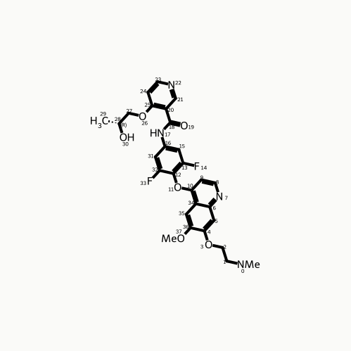 CNCCOc1cc2nccc(Oc3c(F)cc(NC(=O)c4cnccc4OC[C@@H](C)O)cc3F)c2cc1OC